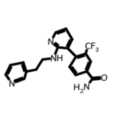 NC(=O)c1ccc(-c2cccnc2NCCc2cccnc2)c(C(F)(F)F)c1